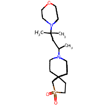 CC(CC(C)(C)N1CCOCC1)N1CCC2(CC1)CCS(=O)(=O)C2